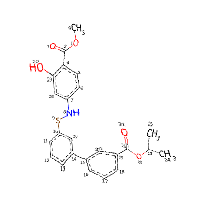 COC(=O)c1ccc(NSc2cccc(-c3cccc(C(=O)OC(C)C)c3)c2)cc1O